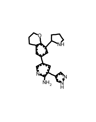 Nc1ncc(-c2cc3c(c(C4CCCN4)c2)OCCC3)cc1-c1cn[nH]c1